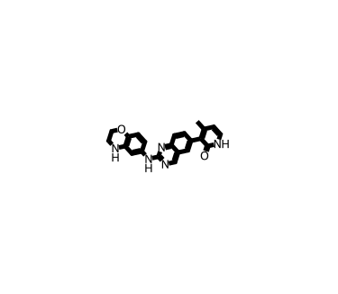 Cc1cc[nH]c(=O)c1-c1ccc2nc(Nc3ccc4c(c3)NCCO4)ncc2c1